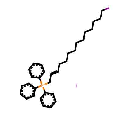 ICCCCCCCCCCCC=CC[P+](c1ccccc1)(c1ccccc1)c1ccccc1.[I-]